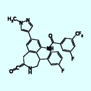 Cn1cc(-c2cc3c(c(NC(=O)c4cc(F)cc(C(F)(F)F)c4)c2)C(c2cc(F)ccc2Cl)CNC(=C=O)C3)cn1